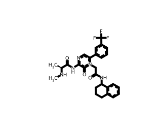 CN[C@@H](C)C(=O)Nc1ncc(-c2cccc(C(F)(F)F)c2)n(CC(=O)NC2CCCc3ccccc32)c1=O